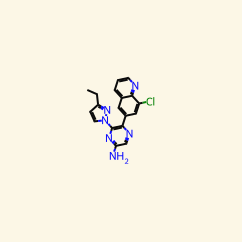 CCc1ccn(-c2nc(N)cnc2-c2cc(Cl)c3ncccc3c2)n1